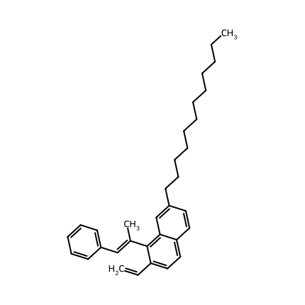 C=Cc1ccc2ccc(CCCCCCCCCCCC)cc2c1C(C)=Cc1ccccc1